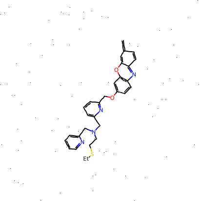 C=c1ccc2c(c1)Oc1cc(OCc3cccc(CN(CCSCC)Cc4ccccn4)n3)ccc1N=2